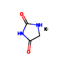 O=C1CNC(=O)N1.[K]